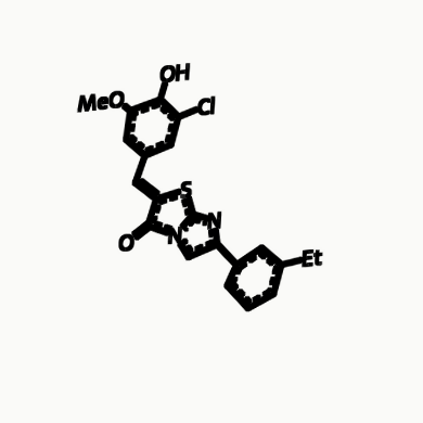 CCc1cccc(-c2cn3c(=O)/c(=C/c4cc(Cl)c(O)c(OC)c4)sc3n2)c1